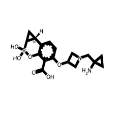 NC1(CN2CC(Oc3ccc4c(c3C(=O)O)O[B-](O)(O)C3C[C@H]43)C2)CC1